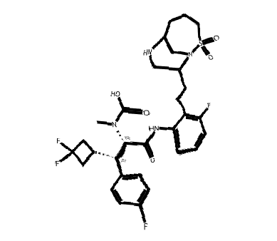 CN(C(=O)O)[C@H](C(=O)Nc1cccc(F)c1CCC1CNC2CCCS(=O)(=O)N1C2)[C@H](c1ccc(F)cc1)C1CC(F)(F)C1